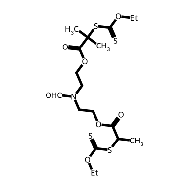 CCOC(=S)SC(C)C(=O)OCCN(C=O)CCOC(=O)C(C)(C)SC(=S)OCC